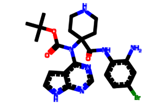 CC(C)(C)OC(=O)N(c1ncnc2[nH]ccc12)C1(C(=O)Nc2ccc(Br)cc2N)CCNCC1